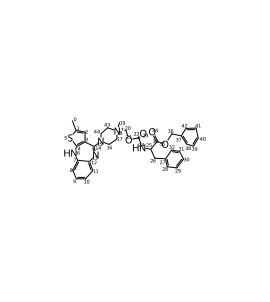 Cc1cc2c(s1)Nc1ccccc1N=C2N1CC[N+](C)(COC(=O)NC(Cc2ccccc2)C(=O)OCc2ccccc2)CC1